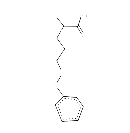 CCCC(=O)C(C)CCCOOc1ccccc1